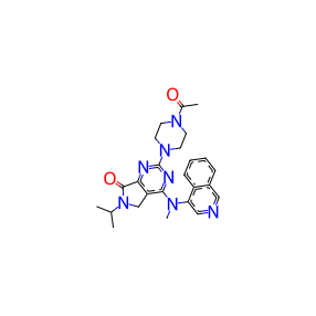 CC(=O)N1CCN(c2nc3c(c(N(C)c4cncc5ccccc45)n2)CN(C(C)C)C3=O)CC1